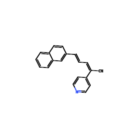 N#CC(=CC=Cc1ccc2ccccc2c1)c1ccncc1